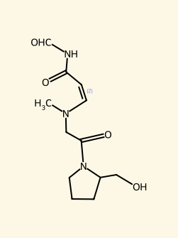 CN(/C=C\C(=O)NC=O)CC(=O)N1CCCC1CO